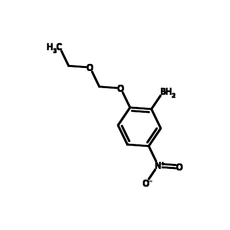 Bc1cc([N+](=O)[O-])ccc1OCOCC